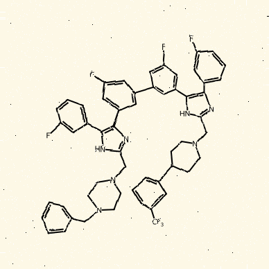 Fc1cccc(-c2nc(CN3CCC(c4cccc(C(F)(F)F)c4)CC3)[nH]c2-c2cc(F)cc(-c3cc(F)cc(-c4nc(CN5CCN(Cc6ccccc6)CC5)[nH]c4-c4cccc(F)c4)c3)c2)c1